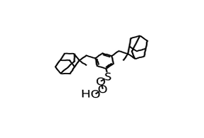 CC1(Cc2cc(CC3(C)C4CC5CC(C4)CC3C5)cc(SOOO)c2)C2CC3CC(C2)CC1C3